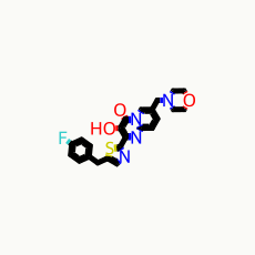 O=c1c(O)c(-c2ncc(Cc3ccc(F)cc3)s2)nc2ccc(CN3CCOCC3)cn12